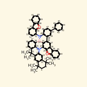 CC1(C)CCC(C)(C)c2cc3c(cc21)N1c2c(cccc2C3(C)C)B2c3c(cc4c(oc5ccccc54)c31)-c1cc(-c3ccccc3)ccc1N2c1cccc2c1oc1ccccc12